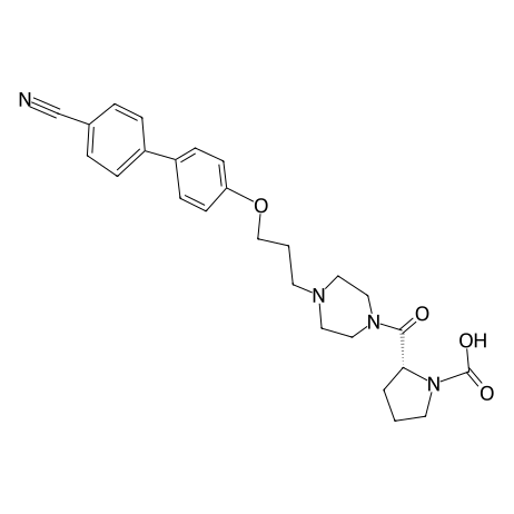 N#Cc1ccc(-c2ccc(OCCCN3CCN(C(=O)[C@H]4CCCN4C(=O)O)CC3)cc2)cc1